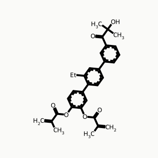 C=C(C)C(=O)Oc1ccc(-c2ccc(-c3cccc(C(=O)C(C)(C)O)c3)cc2CC)cc1OC(=O)C(=C)C